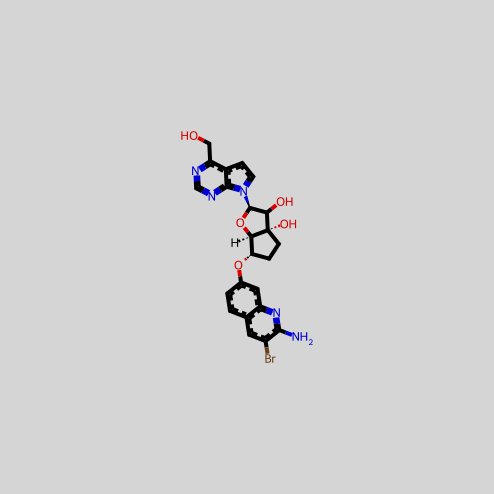 Nc1nc2cc(O[C@H]3CC[C@]4(O)C(O)[C@H](n5ccc6c(CO)ncnc65)O[C@H]34)ccc2cc1Br